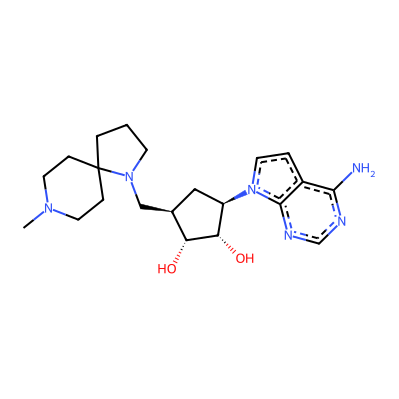 CN1CCC2(CCCN2C[C@H]2C[C@@H](n3ccc4c(N)ncnc43)[C@H](O)[C@@H]2O)CC1